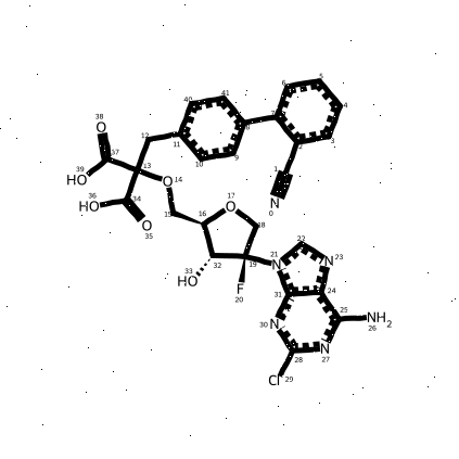 N#Cc1ccccc1-c1ccc(CC(OC[C@H]2OC[C@](F)(n3cnc4c(N)nc(Cl)nc43)[C@@H]2O)(C(=O)O)C(=O)O)cc1